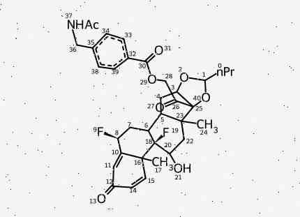 CCCC1OC2CC3C4C[C@H](F)C5=CC(=O)C=CC5(C)[C@@]4(F)C(O)CC3(C)C2(C(=O)COC(=O)c2ccc(CNC(C)=O)cc2)O1